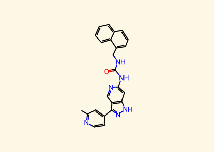 Cc1cc(-c2n[nH]c3cc(NC(=O)NCc4cccc5ccccc45)ncc23)ccn1